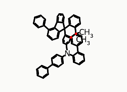 CC1(C)c2ccccc2C2(c3ccccc3-c3c(-c4ccccc4)cccc32)c2ccc(N(c3ccc(-c4ccccc4)cc3)c3ccccc3-c3ccccc3)cc21